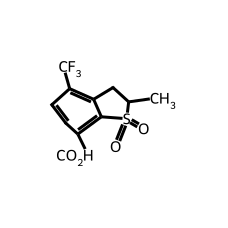 CC1Cc2c(C(F)(F)F)ccc(C(=O)O)c2S1(=O)=O